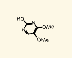 COc1cnc(O)nc1OC